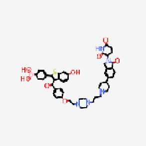 O=C1CCC(N2Cc3cc(C4CCN(CCCN5CCN(CCOc6ccc(C(=O)c7c(-c8ccc(B(O)O)cc8)sc8cc(O)ccc78)cc6)CC5)CC4)ccc3C2=O)C(=O)N1